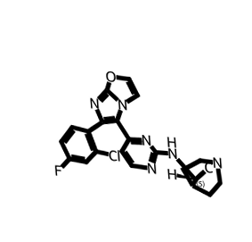 Fc1ccc(-c2nc3occn3c2-c2ccnc(N[C@@H]3CN4CCC3CC4)n2)c(Cl)c1